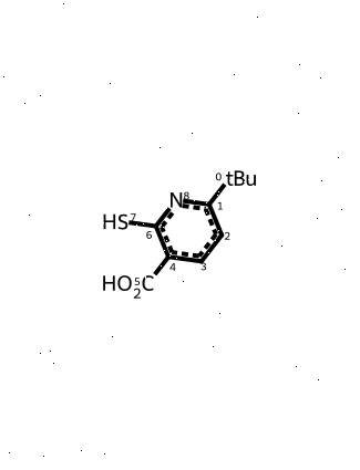 CC(C)(C)c1ccc(C(=O)O)c(S)n1